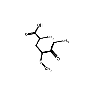 CSC(CC(N)C(=O)O)C(=O)CN